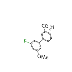 COc1cc(F)cc(-c2cccc(C(=O)O)c2)c1